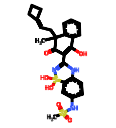 CC1(CC=C2CCC2)C(=O)C(C2=NS(O)(O)c3cc(NS(C)(=O)=O)ccc3N2)=C(O)c2ccccc21